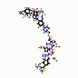 Cc1ncsc1-c1ccc([C@H](C)NC(=O)[C@@H]2C[C@@H](O)CN2C(=O)[C@@H](NC(=O)COCCN2CCN(c3ccc(C(=O)N[C@H]4C(C)(C)[C@H](Oc5ccc(C#N)c(Cl)c5)C4(C)C)cc3)CC2)C(C)(C)C)cc1